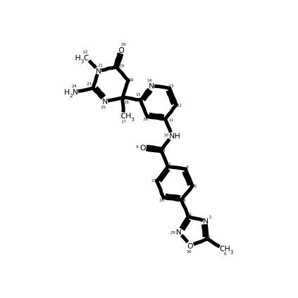 Cc1nc(-c2ccc(C(=O)Nc3ccnc(C4(C)CC(=O)N(C)C(N)=N4)c3)cc2)no1